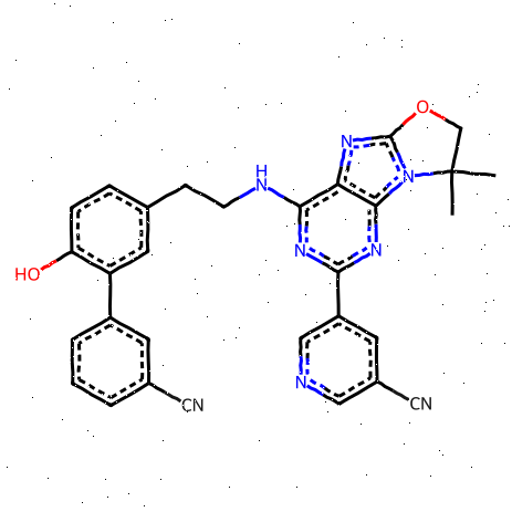 CC1(C)COc2nc3c(NCCc4ccc(O)c(-c5cccc(C#N)c5)c4)nc(-c4cncc(C#N)c4)nc3n21